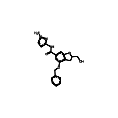 Cn1ccc(NC(=O)c2cc(OCc3ccccc3)c3c(c2)OC(CO)C3)n1